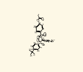 CC(=O)Oc1ccc(S(=O)(=O)C(=[N+]=[N-])S(=O)(=O)c2ccc(C(C)(C)C)cc2)cc1